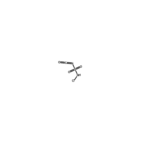 O=C=NS(=O)(=O)NCl